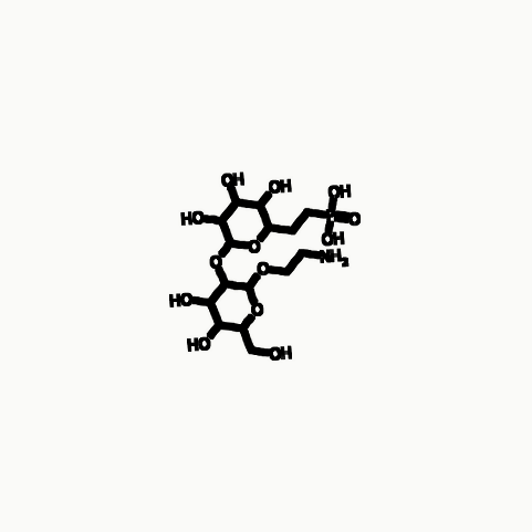 NCCOC1OC(CO)C(O)C(O)C1OC1OC(CCP(=O)(O)O)C(O)C(O)C1O